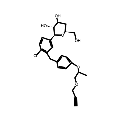 C#CCOCC(C)Oc1ccc(Cc2cc([C@@H]3O[C@H](CO)C[C@H](O)[C@H]3O)ccc2Cl)cc1